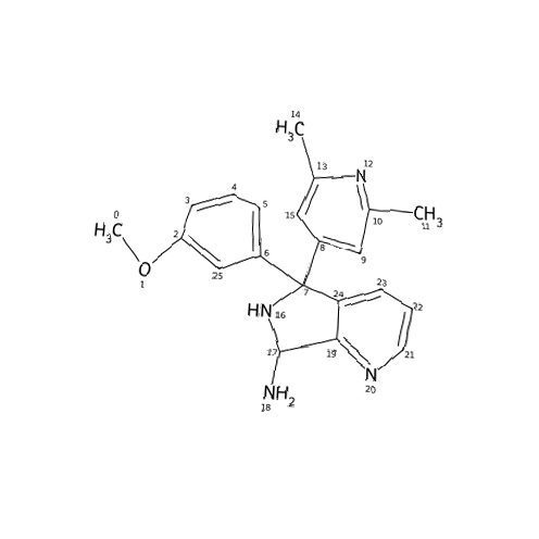 COc1cccc(C2(c3cc(C)nc(C)c3)NC(N)c3ncccc32)c1